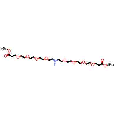 CC(C)(C)OC(=O)CCOCCOCCOCCOCCNCCOCCOCCOCCOCCC(=O)OC(C)(C)C